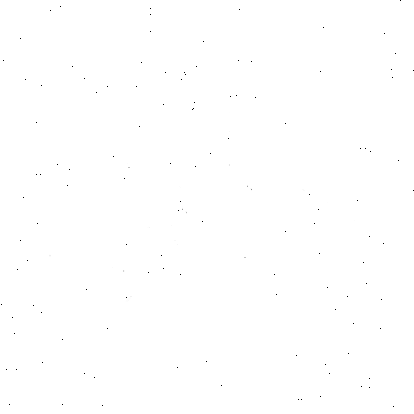 CC(C)(C)c1ccc2c(c1)B1c3ccc(C(C)(C)C)cc3N(c3ccc(-c4cccc5c4sc4ccccc45)cc3)c3cc(C(C)(C)C)cc(c31)N2c1ccc(-c2ccccc2)cc1